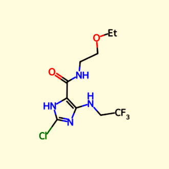 CCOCCNC(=O)c1[nH]c(Cl)nc1NCC(F)(F)F